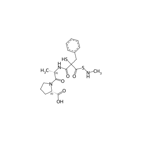 CNSC(=O)C(S)(Cc1ccccc1)C(=O)N[C@@H](C)C(=O)N1CCC[C@H]1C(=O)O